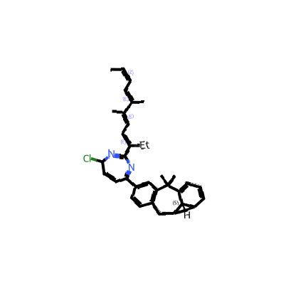 C\C=C/C=C(C)/C(C)=C/C=C(\CC)C1=NC(Cl)C=CC(c2ccc3c(c2)C(C)(C)C2=CC=CC4C(C3)[C@H]24)=N1